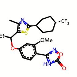 CCC(Oc1ccc(-c2noc(=O)[nH]2)c(OC)c1)c1sc([C@H]2CC[C@H](C(F)(F)F)CC2)nc1C